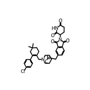 CC1(C)CCC(CN2CC3CCC2CN3Cc2ccc3c(c2)C(=O)N(C2CCC(=O)NC2=O)C3=O)=C(c2ccc(Cl)cc2)C1